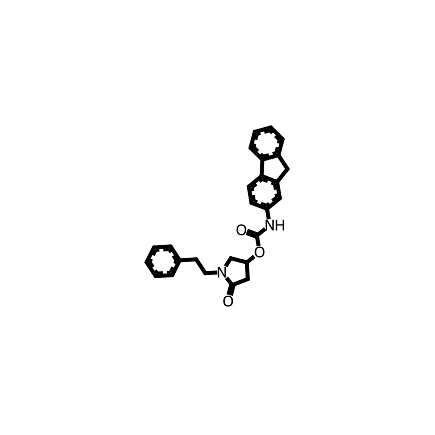 O=C(Nc1ccc2c(c1)Cc1ccccc1-2)OC1CC(=O)N(CCc2ccccc2)C1